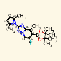 Cc1c(B2OC(C)(C)C(C)(C)O2)c(F)cn2nc(-n3c(C)ccc3C)nc12